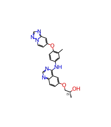 Cc1cc(Nc2ncnc3ccc(OC[C@H](C)O)cc23)ccc1Oc1ccn2ncnc2c1